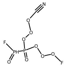 N#COOOP(=O)(OOOF)[PH](=O)F